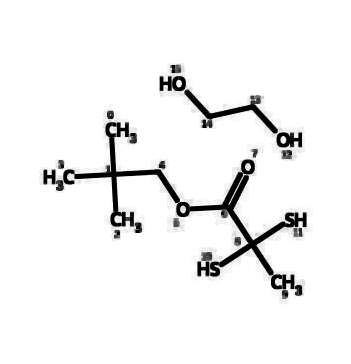 CC(C)(C)COC(=O)C(C)(S)S.OCCO